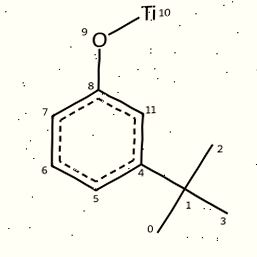 CC(C)(C)c1cccc([O][Ti])c1